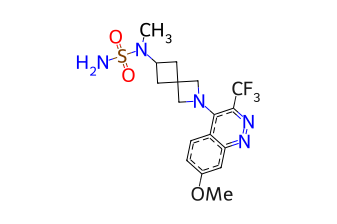 COc1ccc2c(N3CC4(CC(N(C)S(N)(=O)=O)C4)C3)c(C(F)(F)F)nnc2c1